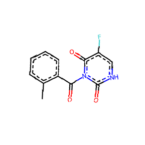 Cc1ccccc1C(=O)n1c(=O)[nH]cc(F)c1=O